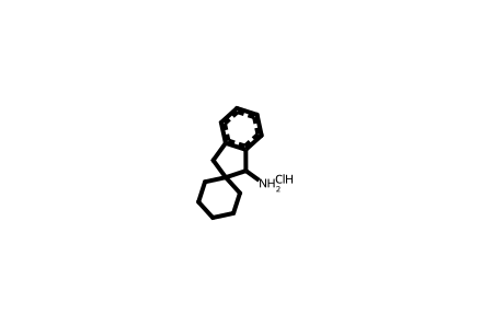 Cl.NC1c2ccccc2CC12CCCCC2